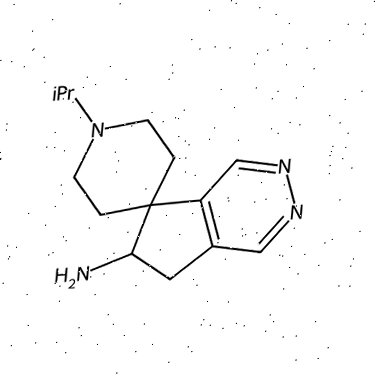 CC(C)N1CCC2(CC1)c1cnncc1CC2N